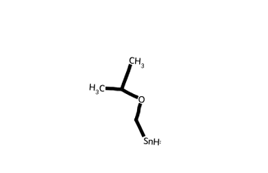 CC(C)O[CH2][SnH]